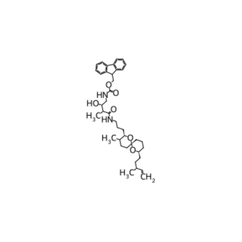 C=C[C@@H](C)CC[C@@H]1CCC[C@]2(CCC(C)[C@@H](CCCNC(=O)[C@@H](C)[C@@H](O)CNC(=O)OCC3c4ccccc4-c4ccccc43)O2)O1